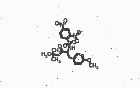 COc1ccc(CC(NS(=O)(=O)c2ccc([N+](=O)[O-])cc2[N+](=O)[O-])C(=O)CC(C)(C)C)cc1